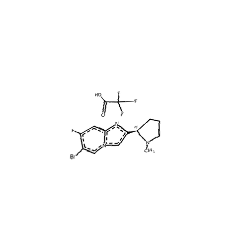 CN1CCC[C@@H]1c1cn2cc(Br)c(F)cc2n1.O=C(O)C(F)(F)F